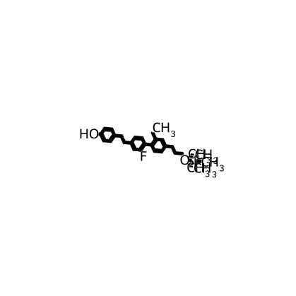 CCc1cc(CCCO[Si](C)(C)C(C)(C)C)ccc1-c1ccc(CCc2ccc(O)cc2)cc1F